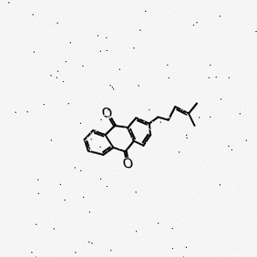 CC(C)=CCCc1ccc2c(c1)C(=O)c1ccccc1C2=O